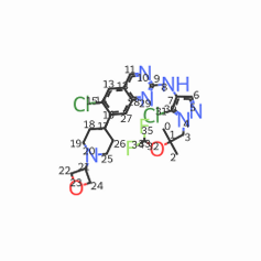 CC(C)(Cn1ncc(Nc2ncc3cc(Cl)c(C4CCN(C5COC5)CC4)cc3n2)c1Cl)OC(F)F